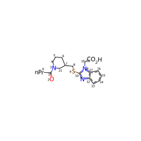 CCCC(=O)N1CCCC(CSc2nc3ccccc3n2CC(=O)O)C1